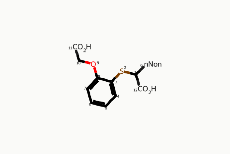 CCCCCCCCCC(Sc1ccccc1OCC(=O)O)C(=O)O